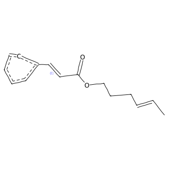 CC=CCCCOC(=O)/C=C/c1ccccc1